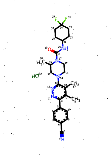 Cc1c(-c2ccc(C#N)cc2)nnc(N2CCN(C(=O)NC3CCC(F)(F)CC3)C(C)C2)c1C.Cl